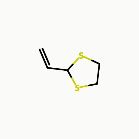 C=CC1SCCS1